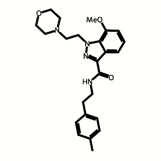 COc1cccc2c(C(=O)NCCc3ccc(C)cc3)nn(CCN3CCOCC3)c12